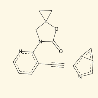 C#Cc1cccnc1N1CC2(CC2)OC1=O.c1ncc2cc1-2